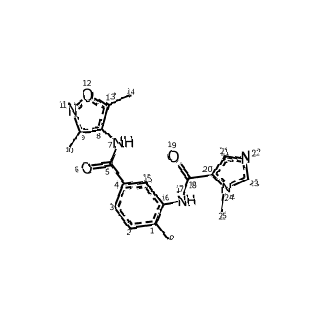 Cc1ccc(C(=O)Nc2c(C)noc2C)cc1NC(=O)c1cncn1C